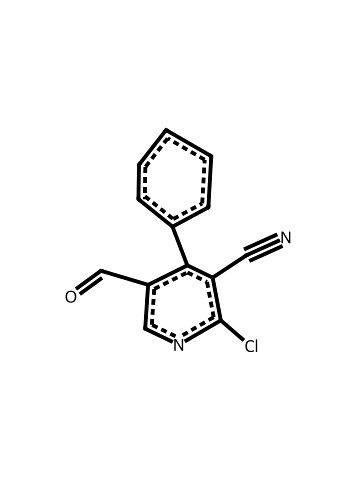 N#Cc1c(Cl)ncc(C=O)c1-c1ccccc1